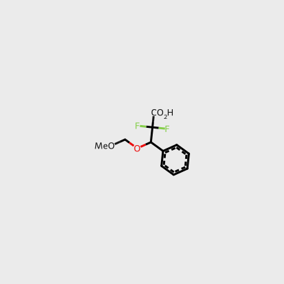 COCOC(c1ccccc1)C(F)(F)C(=O)O